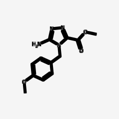 COC(=O)c1nnc(N)n1Cc1ccc(OC)cc1